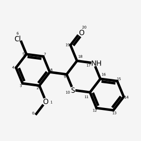 COc1ccc(Cl)cc1C1Sc2ccccc2NC1C=O